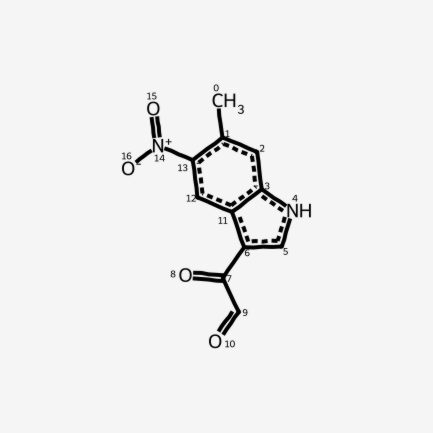 Cc1cc2[nH]cc(C(=O)C=O)c2cc1[N+](=O)[O-]